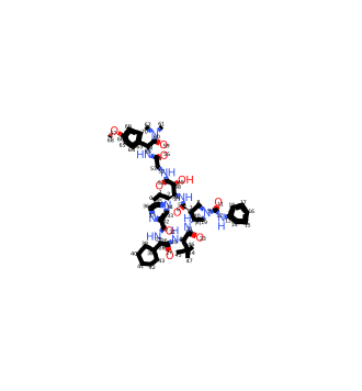 CCC[C@H](NC(=O)[C@@H]1CN(C(=O)Nc2ccccc2)C[C@@H]1NC(=O)[C@@H](NC(=O)[C@@H](NC(=O)c1cnccn1)C1CCCCC1)C(C)(C)C)C(O)C(=O)NCC(=O)N[C@H](C(=O)N(C)C)c1ccc(OC)cc1